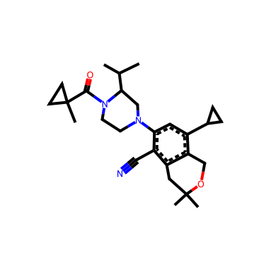 CC(C)C1CN(c2cc(C3CC3)c3c(c2C#N)CC(C)(C)OC3)CCN1C(=O)C1(C)CC1